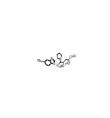 CCCC[C@H](CN(O)C=O)C(=O)N1CCC[C@H]1c1nc2cc(C(C)(C)C)ccc2o1